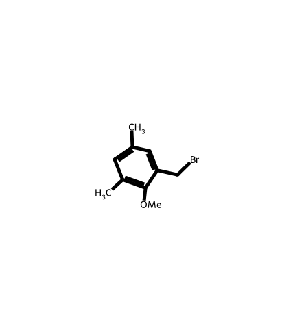 COc1c(C)cc(C)cc1CBr